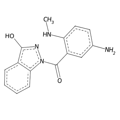 CNc1ccc(N)cc1C(=O)n1nc(O)c2ccccc21